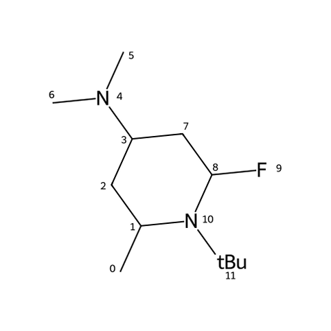 CC1CC(N(C)C)CC(F)N1C(C)(C)C